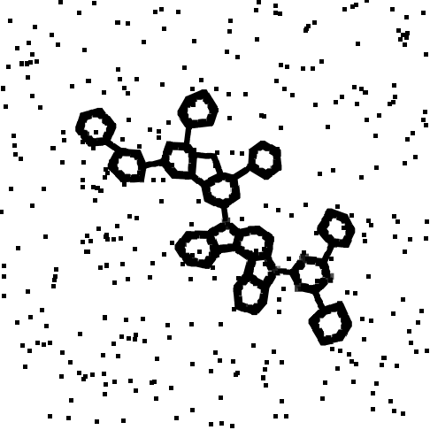 c1ccc(-c2cccc(-c3cc(-c4ccccc4)c4c(c3)-c3cc(-n5c6ccccc6c6c7c8ccccc8n(-c8nc(-c9ccccc9)nc(-c9ccccc9)n8)c7ccc65)cc(-c5ccccc5)c3C4)c2)cc1